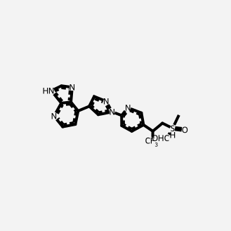 C[SH](=O)(C=O)CC(c1ccc(-n2cc(-c3ccnc4[nH]cnc34)cn2)nc1)C(F)(F)F